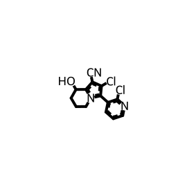 N#Cc1c(Cl)c(-c2cccnc2Cl)n2c1C(O)CCC2